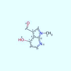 Cn1cc(C=O)c2c(O)ccnc21